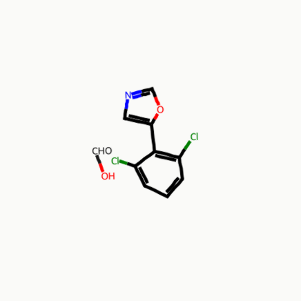 Clc1cccc(Cl)c1-c1cnco1.O=CO